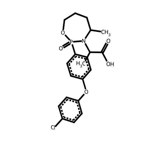 CC1CCCOP(=O)(c2ccc(Oc3ccc(Cl)cc3)cc2)N1C(C)C(=O)O